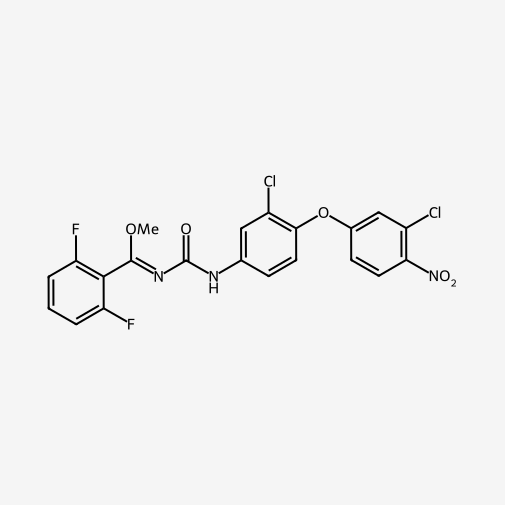 COC(=NC(=O)Nc1ccc(Oc2ccc([N+](=O)[O-])c(Cl)c2)c(Cl)c1)c1c(F)cccc1F